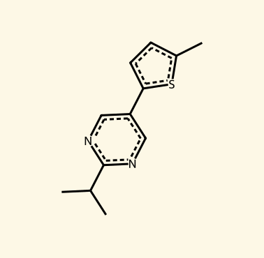 Cc1ccc(-c2cnc(C(C)C)nc2)s1